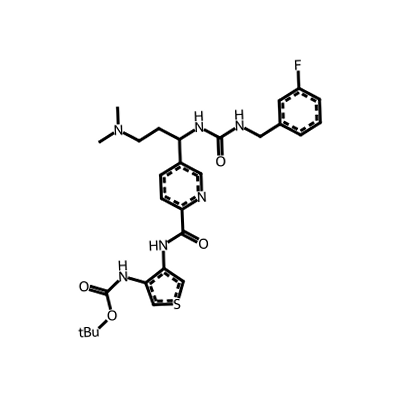 CN(C)CCC(NC(=O)NCc1cccc(F)c1)c1ccc(C(=O)Nc2cscc2NC(=O)OC(C)(C)C)nc1